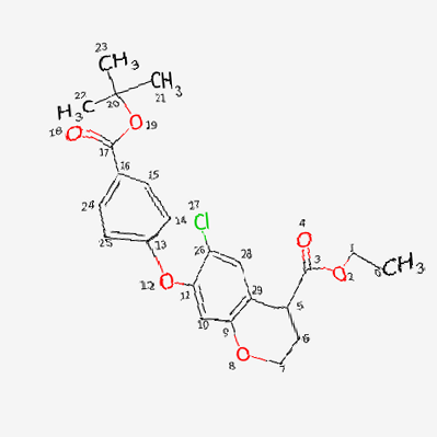 CCOC(=O)C1CCOc2cc(Oc3ccc(C(=O)OC(C)(C)C)cc3)c(Cl)cc21